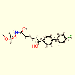 COC(C)(C)ON(C)C(=O)CCCCC(O)c1ccc(-c2ccc(Cl)cc2)cc1